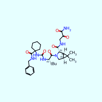 CC(C)(C)[C@H](NC(=O)NC1(C(=O)NCc2ccccc2)CCCCC1)C(=O)N1C[C@H]2[C@@H]([C@H]1C(=O)NCC(=O)C(N)=O)C2(C)C